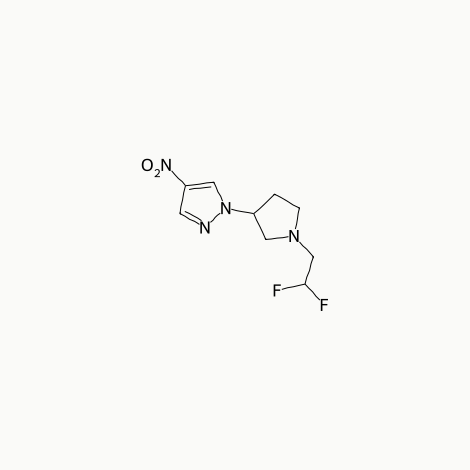 O=[N+]([O-])c1cnn(C2CCN(CC(F)F)C2)c1